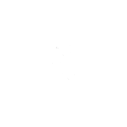 C=C(O[SiH2][N+](C)(C)C)c1ccc[nH]1